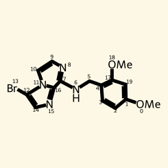 COc1ccc(CNc2nccn3c(Br)cnc23)c(OC)c1